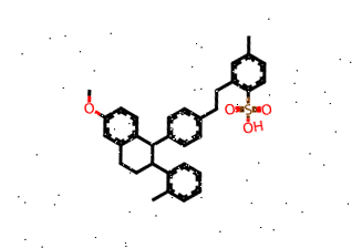 COc1ccc2c(c1)CCC(c1ccccc1C)C2c1ccc(CCc2cc(C)ccc2S(=O)(=O)O)cc1